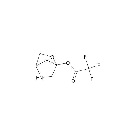 O=C(OC12CNC(CO1)C2)C(F)(F)F